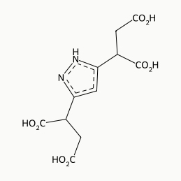 O=C(O)CC(C(=O)O)c1cc(C(CC(=O)O)C(=O)O)[nH]n1